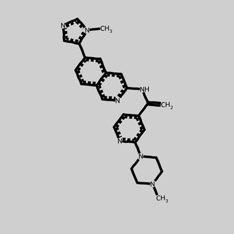 C=C(Nc1cc2cc(-c3cncn3C)ccc2cn1)c1ccnc(N2CCN(C)CC2)c1